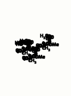 COc1cc(CN(C2CCC2)C(C)c2ccc3c(c2)CCO3)ccc1OCCn1c(=O)ccn(C)c1=O.COc1cc(CN(C2CCC2)C(C)c2ccc3c(c2)CCO3)ccc1OCCn1c(=O)ccn(C)c1=O.COc1cc(CN(C2CCC2)[C@H](C)c2ccc3c(c2)CCO3)ccc1OCCn1c(=O)ccn(C)c1=O.O=C(O)O.O=C(O)O.O=C(O)O